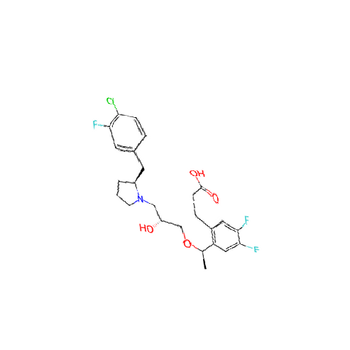 C[C@@H](OC[C@H](O)CN1CCC[C@H]1Cc1ccc(Cl)c(F)c1)c1cc(F)c(F)cc1CCC(=O)O